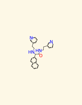 O=C(NCCc1cccnc1)C(NCCc1cccnc1)c1ccc2ccccc2c1